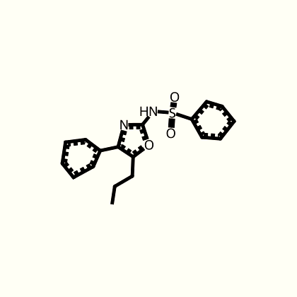 CCCc1oc(NS(=O)(=O)c2ccccc2)nc1-c1ccccc1